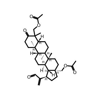 C=C(C=O)[C@@H]1CC[C@]2(COC(C)=O)CC[C@]3(C)[C@H](CC[C@@H]4[C@@]5(C)CCC(=O)C(C)(COC(C)=O)[C@@H]5CC[C@]43C)[C@@H]12